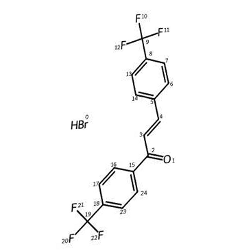 Br.O=C(C=Cc1ccc(C(F)(F)F)cc1)c1ccc(C(F)(F)F)cc1